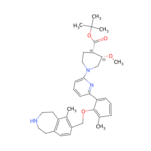 CO[C@@H]1CN(c2cccc(-c3cccc(C)c3OCc3ccc4c(c3C)CCNCC4)n2)CC[C@@H]1C(=O)OC(C)(C)C